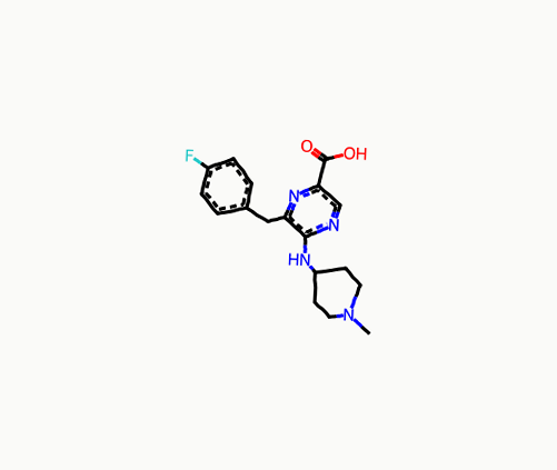 CN1CCC(Nc2ncc(C(=O)O)nc2Cc2ccc(F)cc2)CC1